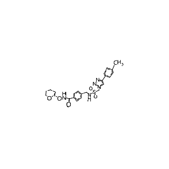 Cc1ccc(-c2cn(CS(=O)(=O)NCc3ccc(C(=O)NOC4CCCCO4)cc3)nn2)cc1